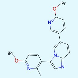 Cc1nc(OC(C)C)ccc1-c1cnc2ccc(-c3ccc(OC(C)C)nc3)cn12